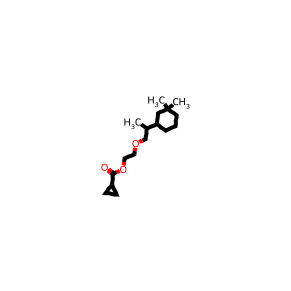 CC(COCCOC(=O)C1CC1)C1CCCC(C)(C)C1